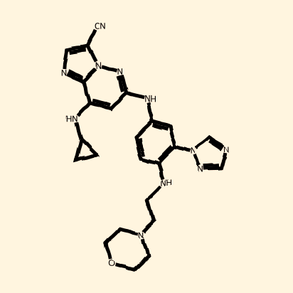 N#Cc1cnc2c(NC3CC3)cc(Nc3ccc(NCCN4CCOCC4)c(-n4cncn4)c3)nn12